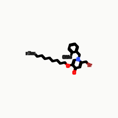 CCCCCCCCCCCCCCCCCCOc1cn(Cc2ccccc2OC)c(CBr)cc1=O